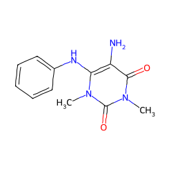 Cn1c(Nc2ccccc2)c(N)c(=O)n(C)c1=O